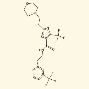 O=C(NCCc1cccc(C(F)(F)F)c1)c1sc(CCN2CCSCC2)nc1C(F)(F)F